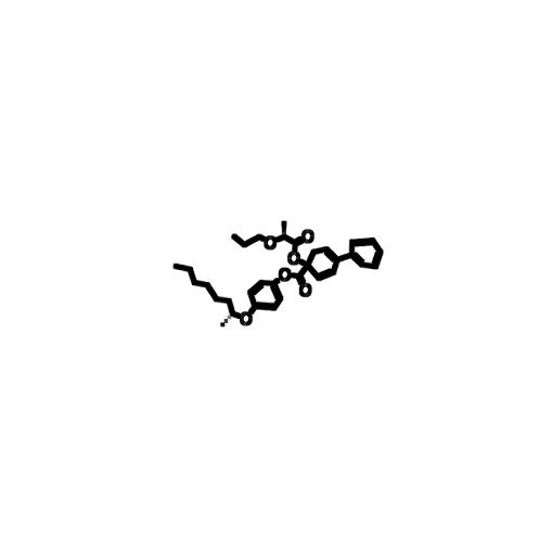 CCCCCC[C@@H](C)Oc1ccc(OC(=O)C2(OC(=O)[C@H](C)OCCC)C=CC(c3ccccc3)=CC2)cc1